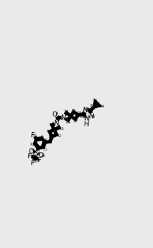 O=C(N1CC2(CC(Cc3cc(F)cc(S(=O)(=O)C(F)(F)F)c3)C2)C1)N1CC2(CC(c3nc(C4CC4)n[nH]3)C2)C1